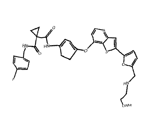 COCCNCc1ccc(-c2cc3nccc(OC4=CC=C(NC(=O)C5(C(=O)Nc6ccc(F)cc6)CC5)CC4)c3s2)o1